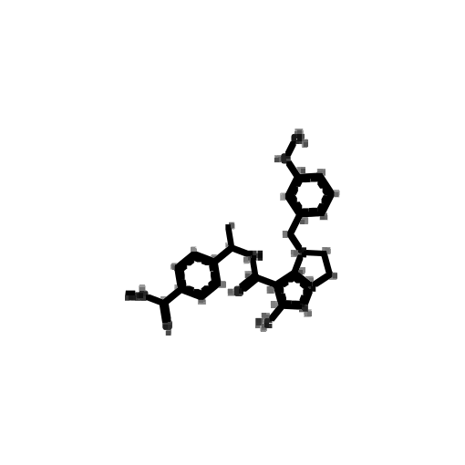 COC(=O)c1ccc(C(C)NC(=O)c2c(C(F)(F)F)nn3c2N(Cc2cccc(OC(F)(F)F)c2)CC3)cc1